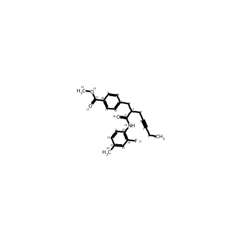 CCC#CCC(Cc1ccc(C(=O)OC)cc1)C(=O)Nc1ccc(C)cc1F